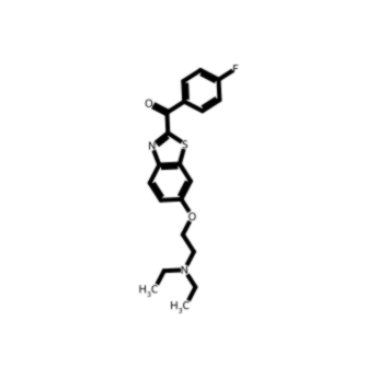 CCN(CC)CCOc1ccc2nc(C(=O)c3ccc(F)cc3)sc2c1